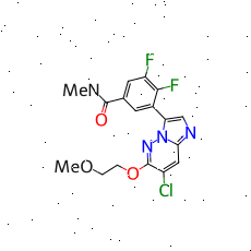 CNC(=O)c1cc(F)c(F)c(-c2cnc3cc(Cl)c(OCCOC)nn23)c1